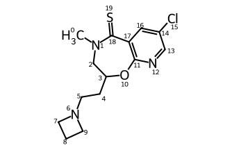 CN1CC(CCN2CCC2)Oc2ncc(Cl)cc2C1=S